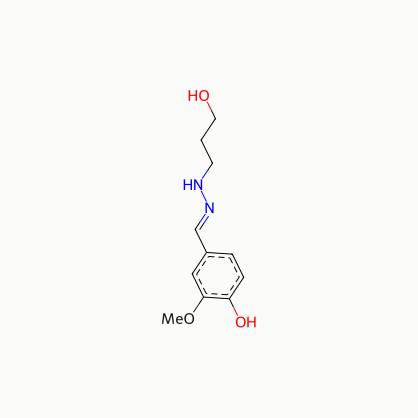 COc1cc(C=NNCCCO)ccc1O